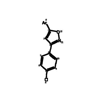 CC(=O)c1cc(-c2ccc(Cl)cc2)no1